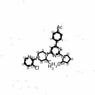 CC(=O)c1ccc(-c2cc(N3CCN(c4ncccc4Cl)CC3C)nc(N3CCCC3C)n2)cc1